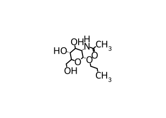 CCCO[C@@H]1OC(CO)[C@H](O)C(O)[C@@H]1NC(C)=O